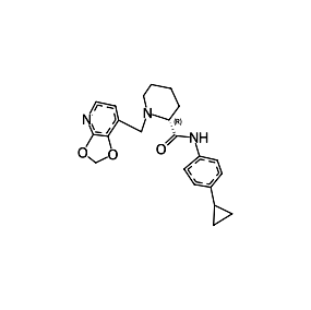 O=C(Nc1ccc(C2CC2)cc1)[C@H]1CCCCN1Cc1ccnc2c1OCO2